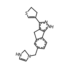 C1=CN(Cc2ccc3c(c2)Cc2c(C4=CSCC4)n[nH]c2-3)CN1